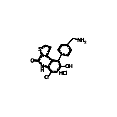 Cl.NCc1ccc(-c2c(O)cc(Cl)c3[nH]c(=O)c4sccc4c23)cc1